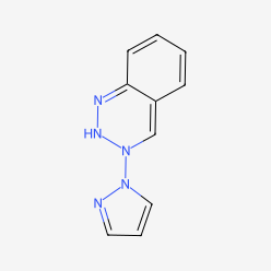 C1=c2ccccc2=NNN1n1cccn1